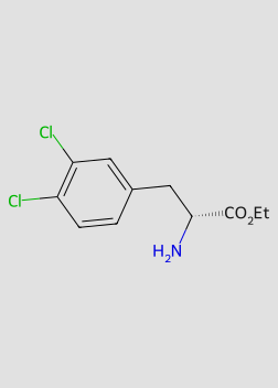 CCOC(=O)[C@H](N)Cc1ccc(Cl)c(Cl)c1